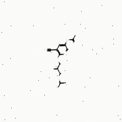 CC(=O)Nc1cnc(OCC(O)CNC(C)C)c(C#N)c1